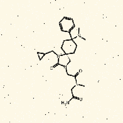 CN(CC(N)=O)C(=O)CN1C[C@]2(CC[C@](c3ccccc3)(N(C)C)CC2)N(CC2CC2)C1=O